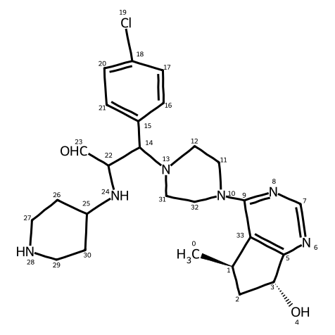 C[C@@H]1C[C@@H](O)c2ncnc(N3CCN(C(c4ccc(Cl)cc4)C(C=O)NC4CCNCC4)CC3)c21